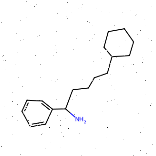 NC(CCCCC1CCCCC1)c1ccccc1